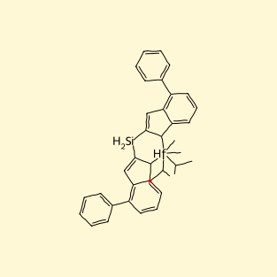 C[CH](C)[Hf]1([CH3])([CH3])([CH](C)C)[CH]2C(=Cc3c(-c4ccccc4)cccc32)[SiH2]C2=Cc3c(-c4ccccc4)cccc3[CH]21